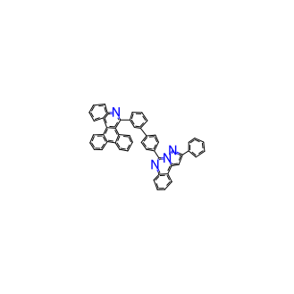 c1ccc(-c2cc3c4ccccc4nc(-c4ccc(-c5cccc(-c6nc7ccccc7c7c8ccccc8c8ccccc8c67)c5)cc4)n3n2)cc1